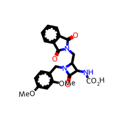 COc1ccc(CN2C(=O)C(NC(=O)O)C2CN2C(=O)c3ccccc3C2=O)c(OC)c1